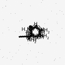 CCCCCCCCCC(=O)N[C@H](CCN)C(=O)N[C@H]1CCNC(=O)[C@H]([C@@H](C)O)NC(=O)[C@H](CCN)NC(=O)[C@H](CCN)NC(=O)[C@H](CC(C)C)NC(=O)[C@@H](Cc2ccccc2)NC(=O)[C@H](CCN)NC1=O